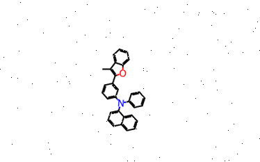 Cc1c(-c2cccc(N(c3ccccc3)c3cccc4ccccc34)c2)oc2ccccc12